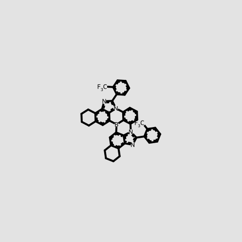 FC(F)(F)c1ccccc1-c1nc2c3c(cc4c2n1-c1cccc2c1B4c1cc4c(c5nc(-c6ccccc6C(F)(F)F)n-2c15)CCCC4)CCCC3